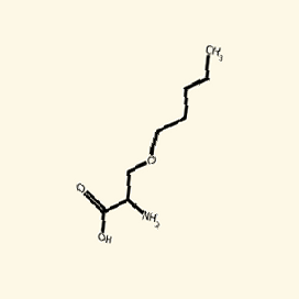 CCCCCOCC(N)C(=O)O